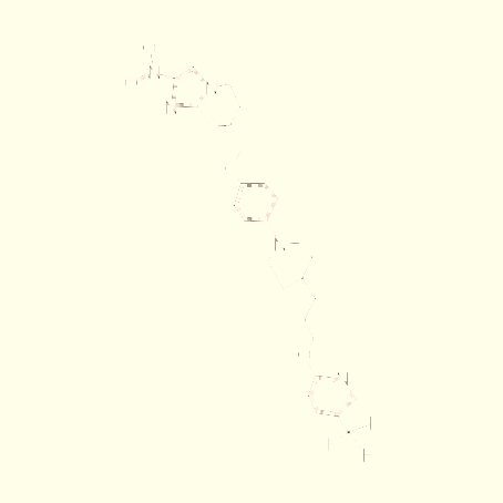 O=[N+]([O-])c1cn2c(n1)O[C@@H](COc1ccc(N3CCC(CCCOc4ccc(C(F)(F)F)cn4)CC3)cc1)CC2